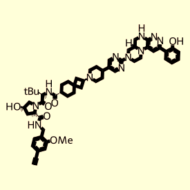 C#Cc1ccc(CNC(=O)[C@@H]2C[C@@H](O)CN2C(=O)[C@@H](NC(=O)[C@H]2CCC3(CC2)C[C@H](N2CCC(c4cnc(N5CCN6c7cc(-c8ccccc8O)nnc7NC[C@H]6C5)nc4)CC2)C3)C(C)(C)C)c(OC)c1